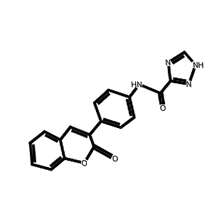 O=C(Nc1ccc(-c2cc3ccccc3oc2=O)cc1)c1nc[nH]n1